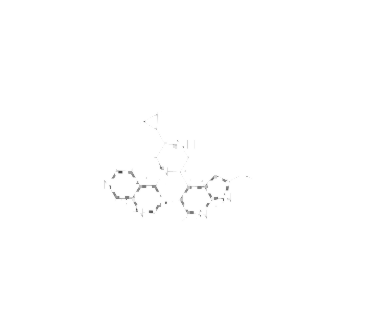 CSc1cc2c(C3CNC(C4CC4)CN3c3ncnc4cnccc34)ccnc2[nH]1